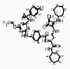 C=C1C(=O)C(NCC[C@H](NC(=O)c2ccc(Nc3nc(NC4(c5ccc(Cl)cc5)CC4)nc(OCC(F)(F)F)n3)cc2)C(=O)NC2CCCCCC2)=C1NC1CCCCCC1